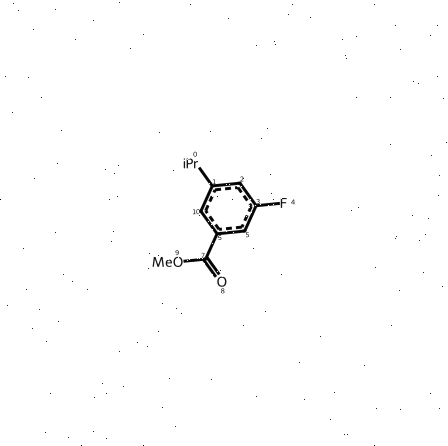 [CH2]C(C)c1cc(F)cc(C(=O)OC)c1